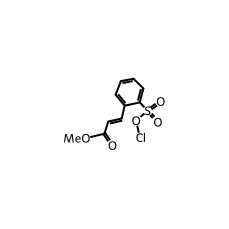 COC(=O)/C=C/c1ccccc1S(=O)(=O)OCl